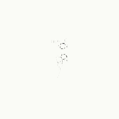 COCOCC1CN2c3nccc(Sc4cnc(Cl)c(CO)n4)c3OC[C@]2(C)C1